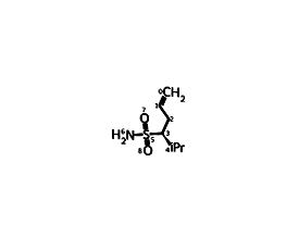 C=CC[C@@H](C(C)C)S(N)(=O)=O